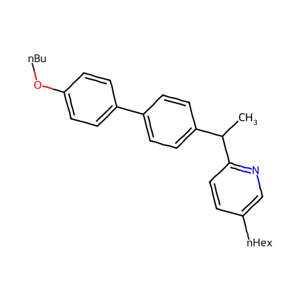 CCCCCCc1ccc(C(C)c2ccc(-c3ccc(OCCCC)cc3)cc2)nc1